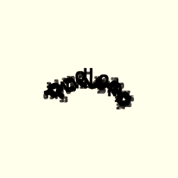 Cc1ccc(N2CCN(C(=O)CNCc3coc(-c4ccn(-c5ccccc5)n4)c3)CC2)c(C)c1